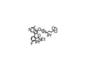 CCN(C(=O)c1cc(F)ccc1-c1cc(OC2CN(C(CCC3OCCO3)C(C)C)C2)n2c(C)cncc12)C(C)C